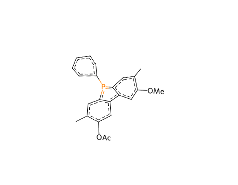 COc1cc2c3cc(OC(C)=O)c(C)cc3p(-c3ccccc3)c2cc1C